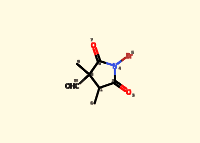 CC1C(=O)N(Br)C(=O)C1(C)C=O